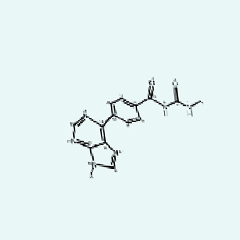 CNC(=O)NC(=O)c1ccc(-c2ncnc3c2ncn3C)cc1